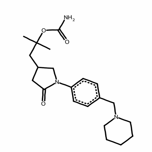 CC(C)(CC1CC(=O)N(c2ccc(CN3CCCCC3)cc2)C1)OC(N)=O